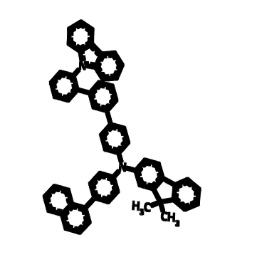 CC1(C)c2ccccc2-c2ccc(N(c3ccc(-c4cccc(-c5ccccc5-n5c6ccccc6c6ccccc65)c4)cc3)c3ccc(-c4cccc5ccccc45)cc3)cc21